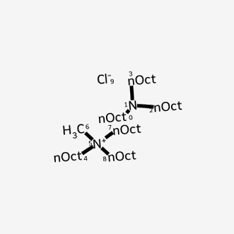 CCCCCCCCN(CCCCCCCC)CCCCCCCC.CCCCCCCC[N+](C)(CCCCCCCC)CCCCCCCC.[Cl-]